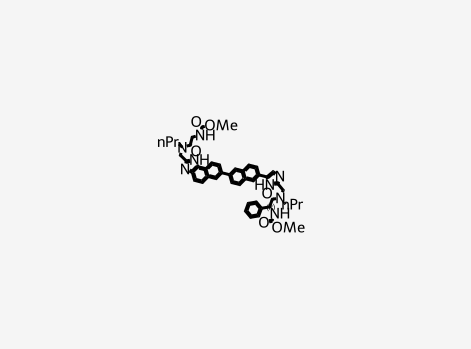 CCCN(Cc1nc2ccc3cc(-c4ccc5cc(-c6cnc(CN(CCC)C(=O)[C@H](NC(=O)OC)c7ccccc7)[nH]6)ccc5c4)ccc3c2[nH]1)C(=O)CNC(=O)OC